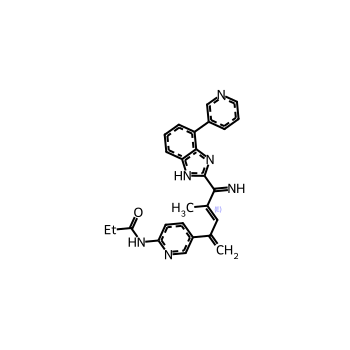 C=C(/C=C(\C)C(=N)c1nc2c(-c3cccnc3)cccc2[nH]1)c1ccc(NC(=O)CC)nc1